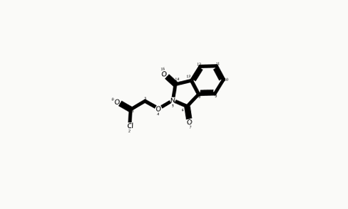 O=C(Cl)CON1C(=O)c2ccccc2C1=O